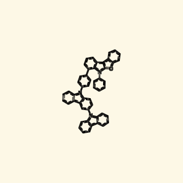 c1ccc(-n2c3oc4ccccc4c3c3cccc(-c4ccc(-n5c6ccccc6c6cc(-n7c8ccccc8c8ccccc87)ccc65)cc4)c32)cc1